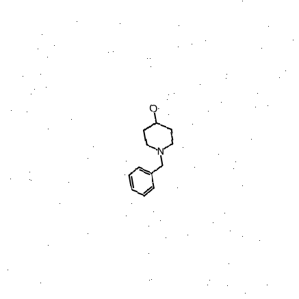 [O]C1CCN(Cc2ccccc2)CC1